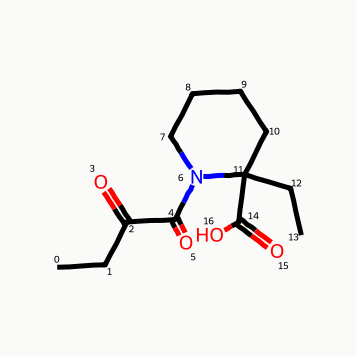 CCC(=O)C(=O)N1CCCCC1(CC)C(=O)O